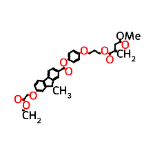 C=COC(=O)COc1ccc2c(c1)C(C)c1cc(C(=O)Oc3ccc(OCCCOC(=O)C(=C)CC(=O)OC)cc3)ccc1-2